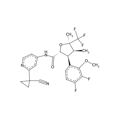 COc1c([C@H]2[C@H](C(=O)Nc3ccnc(C4(C#N)CC4)c3)O[C@@](C)(C(F)(F)F)[C@H]2C)ccc(F)c1F